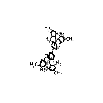 Cc1cc(C)c(B(c2ccc(-c3ccc(N(c4c(C)cc(C)cc4C)c4c(C)cc(C)cc4C)cc3)cc2)c2c(C)cc(C)cc2C)c(C)c1